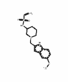 C=CS(=O)(=O)NC1CCCN(Cc2cc3cc(OC(F)(F)F)ccc3[nH]2)C1